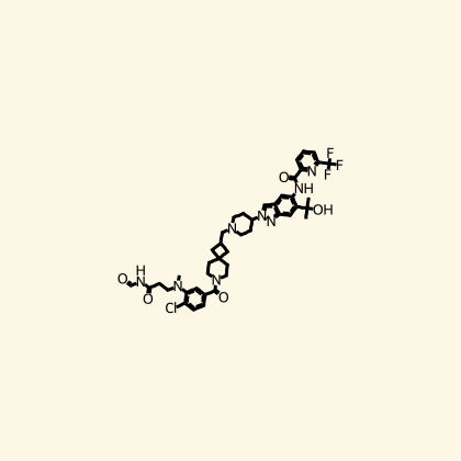 CN(CCC(=O)NC=O)c1cc(C(=O)N2CCC3(CC2)CC(CN2CCC(n4cc5cc(NC(=O)c6cccc(C(F)(F)F)n6)c(C(C)(C)O)cc5n4)CC2)C3)ccc1Cl